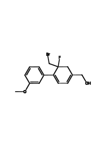 COc1cccc(C2=CC=C(CO)CC2(F)CBr)c1